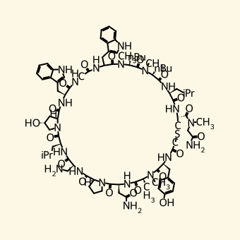 CCCC[C@H]1C(=O)N(C)[C@@H](CCCC)C(=O)N[C@@H](CC(C)C)C(=O)N[C@H](C(=O)N(C)CC(N)=O)CSCC(=O)N[C@@H](Cc2ccc(O)cc2)C(=O)N(C)[C@@H](C)C(=O)N[C@@H](CC(N)=O)C(=O)N2CCC[C@H]2C(=O)N[C@@H](CN)C(=O)N[C@@H](CC(C)C)C(=O)N2C[C@H](O)C[C@H]2C(=O)N[C@@H](Cc2c[nH]c3ccccc23)C(=O)NCC(=O)NC(Cc2c[nH]c3ccccc23)C(=O)N1C